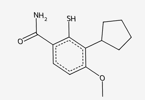 COc1ccc(C(N)=O)c(S)c1C1CCCC1